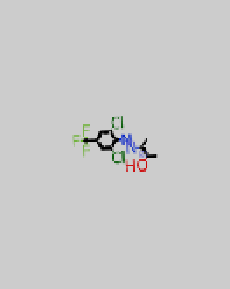 C/C(O)=C(C)/N=N/c1c(Cl)cc(C(F)(F)F)cc1Cl